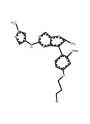 COc1cc(OCCCBr)ccc1-c1c(C)sc2cnc(Nc3cnn(C)c3)nc12